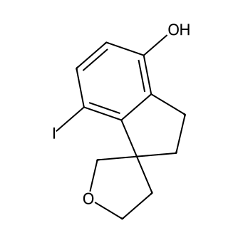 Oc1ccc(I)c2c1CCC21CCOC1